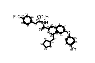 CC(C)c1ccc(Oc2ccc3cc(C(=O)N[C@@H](Cc4ccc(C(F)(F)F)cc4)C(=O)O)nc(CC4CCCC4)c3c2)cc1